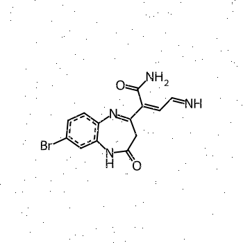 N=C/C=C(\C(N)=O)C1=Nc2ccc(Br)cc2NC(=O)C1